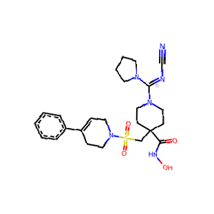 N#C/N=C(\N1CCCC1)N1CCC(CS(=O)(=O)N2CC=C(c3ccccc3)CC2)(C(=O)NO)CC1